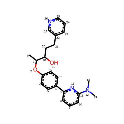 CC(Oc1ccc(-c2cccc(N(C)C)n2)cc1)C(O)CCc1cccnc1